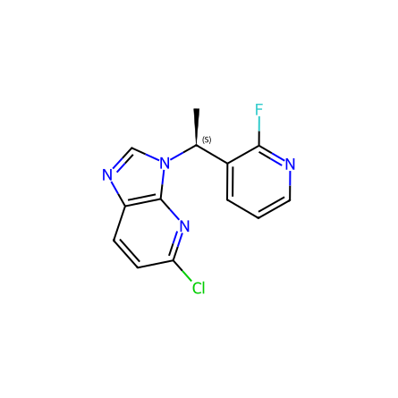 C[C@@H](c1cccnc1F)n1cnc2ccc(Cl)nc21